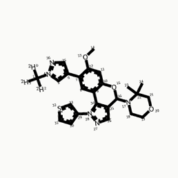 [2H]C([2H])([2H])n1cc(-c2cc3c(cc2OC)OC(N2CCOCC2(C)C)c2[c]nn(-c4ccsc4)c2-3)cn1